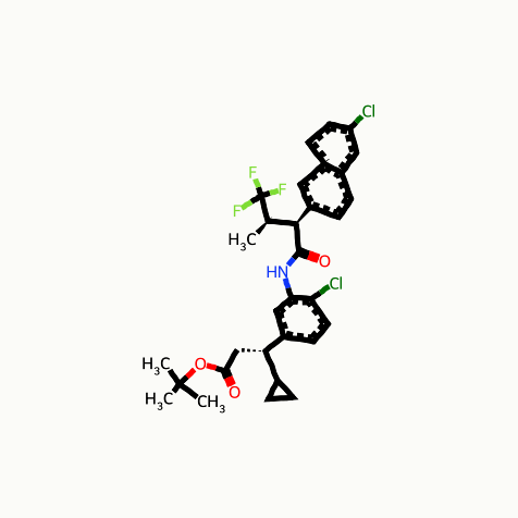 C[C@H]([C@H](C(=O)Nc1cc([C@@H](CC(=O)OC(C)(C)C)C2CC2)ccc1Cl)c1ccc2cc(Cl)ccc2c1)C(F)(F)F